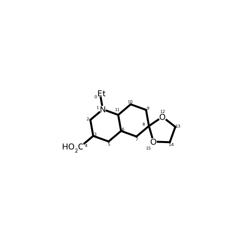 CCN1CC(C(=O)O)CC2CC3(CCC21)OCCO3